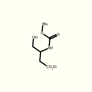 CCOC(=O)CC(CO)NC(=O)OC(C)(C)C